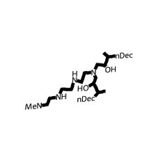 CCCCCCCCCCC(C)C(O)CN(CCNCCNCCNC)CC(O)C(C)CCCCCCCCCC